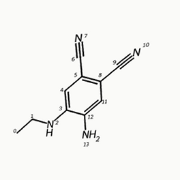 CCNc1cc(C#N)c(C#N)cc1N